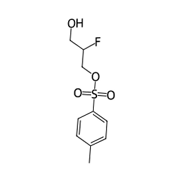 Cc1ccc(S(=O)(=O)OCC(F)CO)cc1